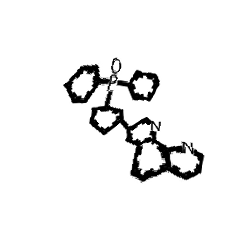 O=P(c1ccccc1)(c1ccccc1)c1cccc(-c2cnc3c(ccc4cccnc43)c2)c1